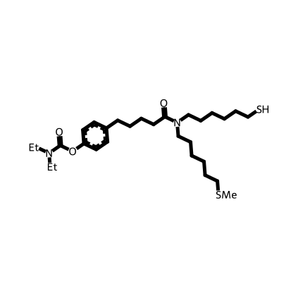 CCN(CC)C(=O)Oc1ccc(CCCCC(=O)N(CCCCCCS)CCCCCCSC)cc1